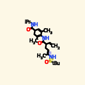 C=CC(C/C=C(\C)N[S+]([O-])C(C)(C)C)C(=O)NC1=C(C)CC(C(=O)NC(C)C)C=C1C